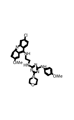 COc1ccc(Nc2nc(NCCNc3c4ccc(Cl)cc4nc4ccc(OC)cc34)nc(N3CCOCC3)n2)cc1